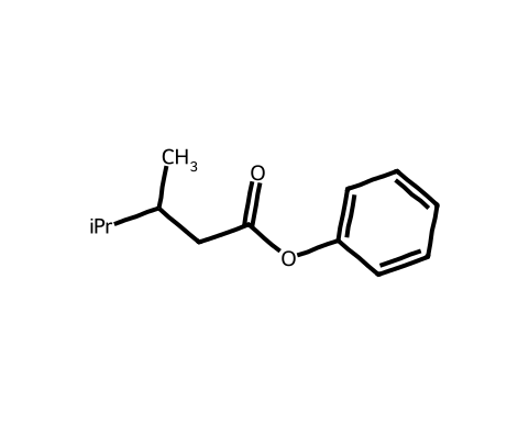 CC(C)C(C)CC(=O)Oc1ccccc1